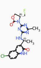 Cc1nc(N[C@@H](C)c2cc3cc(Cl)ccc3[nH]c2=O)nc(N2C(=O)OC[C@@H]2CF)n1